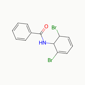 O=C(NC1C(Br)=CC=CC1Br)c1ccccc1